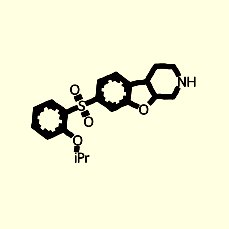 CC(C)Oc1ccccc1S(=O)(=O)c1ccc2c(c1)OC1CNCCC21